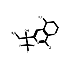 CC1CCOc2c1cc(C(O)(CN)C(F)(F)F)nc2Cl